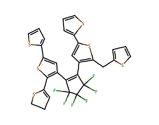 FC1(F)C(c2cc(-c3cccs3)sc2Cc2cccs2)=C(c2cc(-c3cccs3)sc2C2=CCCS2)C(F)(F)C1(F)F